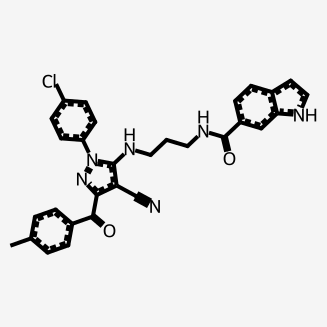 Cc1ccc(C(=O)c2nn(-c3ccc(Cl)cc3)c(NCCCNC(=O)c3ccc4cc[nH]c4c3)c2C#N)cc1